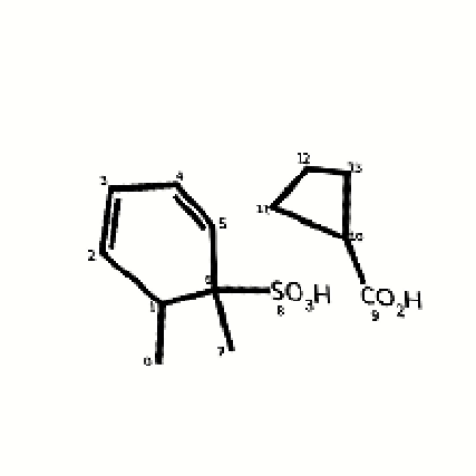 CC1C=CC=CC1(C)S(=O)(=O)O.O=C(O)C1CCC1